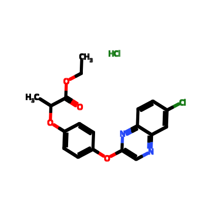 CCOC(=O)C(C)Oc1ccc(Oc2cnc3cc(Cl)ccc3n2)cc1.Cl